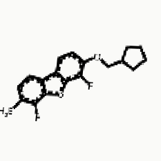 Bc1ccc2c(oc3c(F)c(OCC4CCCC4)ccc32)c1F